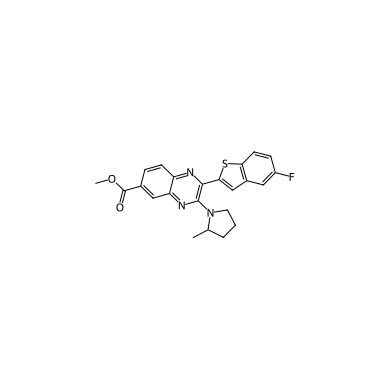 COC(=O)c1ccc2nc(-c3cc4cc(F)ccc4s3)c(N3CCCC3C)nc2c1